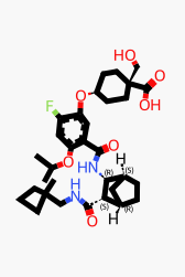 CC(C)Oc1cc(F)c(O[C@H]2CC[C@@](CO)(C(=O)O)CC2)cc1C(=O)N[C@@H]1[C@H]2CC[C@H](C2)[C@@H]1C(=O)NCC1(C)CCC1